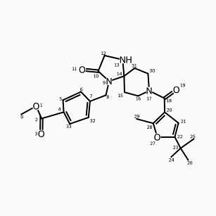 COC(=O)c1ccc(CN2C(=O)CNC23CCN(C(=O)c2cc(C(C)(C)C)oc2C)CC3)cc1